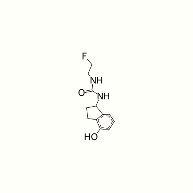 O=C(NCCF)NC1CCc2c(O)cccc21